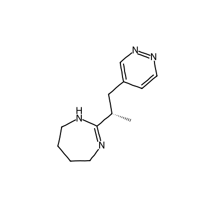 C[C@@H](Cc1ccnnc1)C1=NCCCCN1